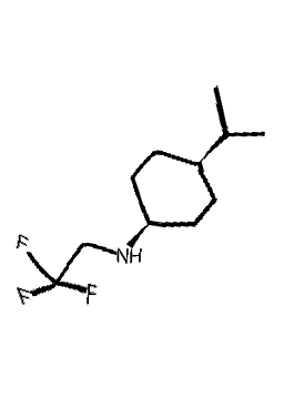 CC(C)[C@H]1CC[C@@H](NCC(F)(F)F)CC1